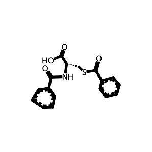 O=C(N[C@@H](CSC(=O)c1ccccc1)C(=O)O)c1ccccc1